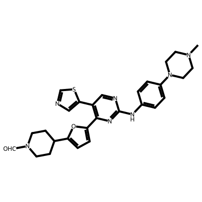 CN1CCN(c2ccc(Nc3ncc(-c4cncs4)c(-c4ccc(C5CCN(C=O)CC5)o4)n3)cc2)CC1